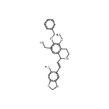 COc1c2c(cc(CO)c1OCc1ccccc1)C(/C=C/c1cc3c(cc1C)OCO3)NCC2